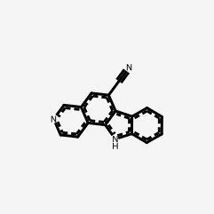 N#Cc1cc2cnccc2c2[nH]c3ccccc3c12